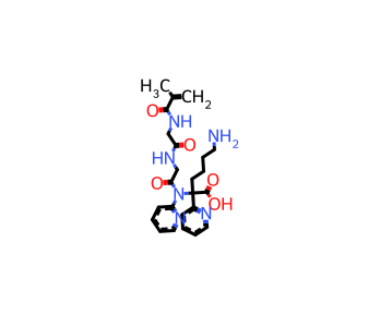 C=C(C)C(=O)NCC(=O)NCC(=O)N(c1ccccn1)C(CCCCN)(C(=O)O)c1ccccn1